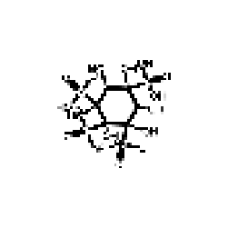 O=P(O)(O)[C@]1(O)[C@H](O)[C@](O)(P(=O)(O)O)[C@@](O)(P(=O)(O)O)[C@](O)(P(=O)(O)O)[C@H]1O